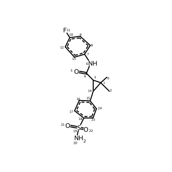 CC1(C)C(C(=O)Nc2ccc(F)cc2)C1c1ccc(S(N)(=O)=O)cc1